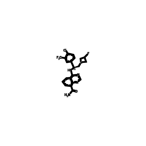 NC(=O)c1cccc2c(N[C@H](CN3CC(F)C3)c3ccc(Cl)c(C(F)(F)F)c3)ncnc12